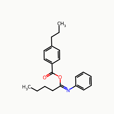 CCCCC(=Nc1ccccc1)OC(=O)c1ccc(CCC)cc1